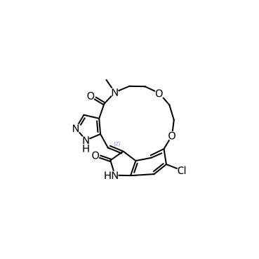 CN1CCOCCOc2cc3c(cc2Cl)NC(=O)/C3=C\c2[nH]ncc2C1=O